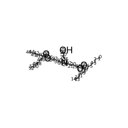 CCCCCCCCC(CCCCCC)C(=O)OCCCCCCN(CCCCO)CCCCCCOC(=O)C(CCCCCC)CCCCCCC